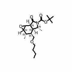 CCCCOC[C@H]1[C@H](C)[C@@H]2OC2[C@H]2C(=O)N(C(=O)OC(C)(C)C)[C@H](C)[C@@H]12